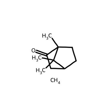 C.CC12CCC(CC1=O)C2(C)C